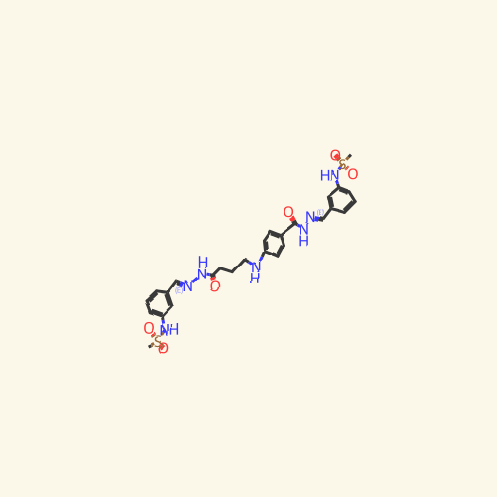 CS(=O)(=O)Nc1cccc(/C=N/NC(=O)CCCNc2ccc(C(=O)N/N=C/c3cccc(NS(C)(=O)=O)c3)cc2)c1